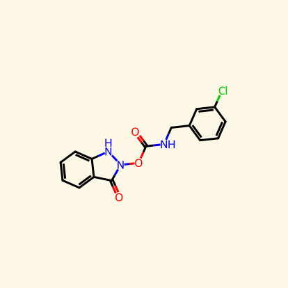 O=C(NCc1cccc(Cl)c1)On1[nH]c2ccccc2c1=O